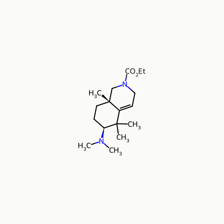 CCOC(=O)N1CC=C2C(C)(C)[C@@H](N(C)C)CC[C@]2(C)C1